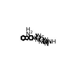 CNc1nccc(Sc2nc(C)c(N3CCC4(CC3)Cc3ccccc3C4N)nc2N)n1